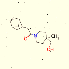 CC1(CO)CCN(C(=O)CC2CC3C=CC2C3)CC1